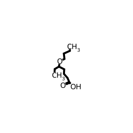 CCCCOC(CC)CCCC(=O)O